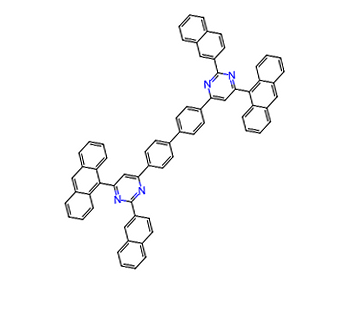 c1ccc2cc(-c3nc(-c4ccc(-c5ccc(-c6cc(-c7c8ccccc8cc8ccccc78)nc(-c7ccc8ccccc8c7)n6)cc5)cc4)cc(-c4c5ccccc5cc5ccccc45)n3)ccc2c1